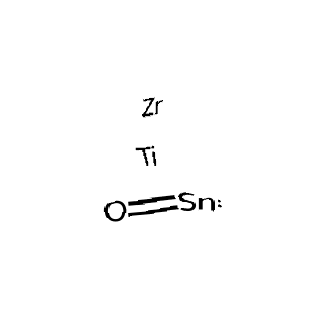 [O]=[Sn].[Ti].[Zr]